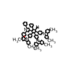 Cc1ccc2c(c1)c1cc(C)ccc1n2-c1ccc(-c2c(C#N)c(-c3ccccc3)c(-c3cc(-c4ccccc4)nc(-c4ccccc4)c3)c(-c3ccc(-n4c5ccc(C)cc5c5cc(C)ccc54)cc3)c2-c2ccc(-n3c4ccc(C)cc4c4cc(C)ccc43)cc2)cc1